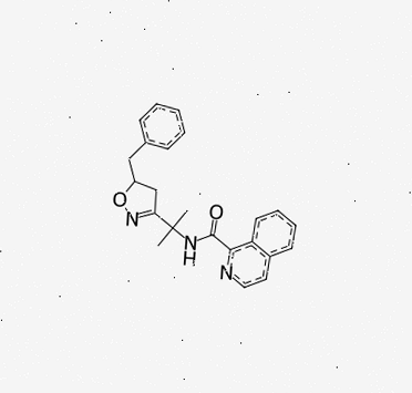 CC(C)(NC(=O)c1nccc2ccccc12)C1=NOC(Cc2ccccc2)C1